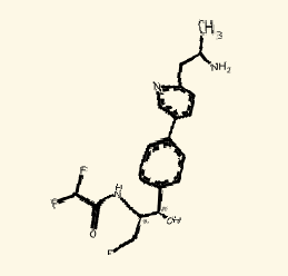 CC(N)Cc1ccc(-c2ccc([C@@H](O)[C@@H](CF)NC(=O)C(F)F)cc2)cn1